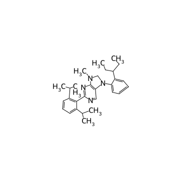 CCC(CC)c1ccccc1N1CN(C)c2nc(-c3c(C(C)C)cccc3C(C)C)ncc21